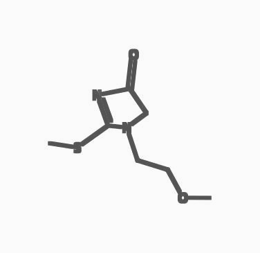 COCCN1CC(=O)N=C1SC